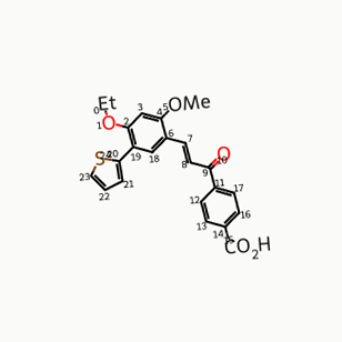 CCOc1cc(OC)c(/C=C/C(=O)c2ccc(C(=O)O)cc2)cc1-c1cccs1